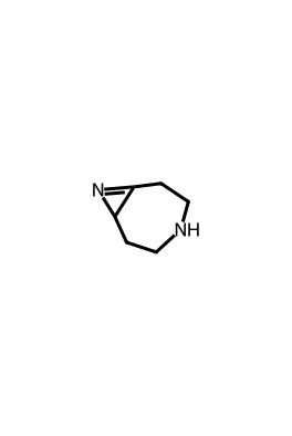 C1CC2=NC2CCN1